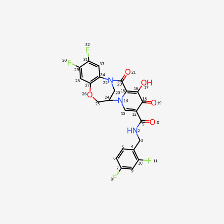 O=C(NCc1ccc(F)cc1F)c1cn2c(c(O)c1=O)C(=O)N1CC2COc2cc(F)c(F)cc21